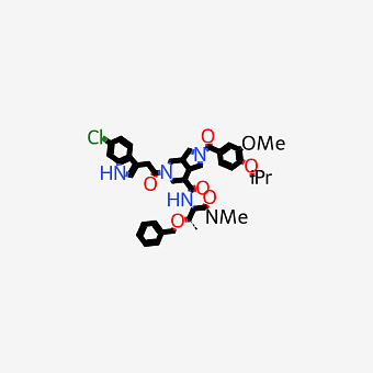 CNC(=O)C(NC(=O)C1CN(C(=O)Cc2c[nH]c3cc(Cl)ccc23)CC2CN(C(=O)c3ccc(OC(C)C)c(OC)c3)CC21)[C@H](C)OCc1ccccc1